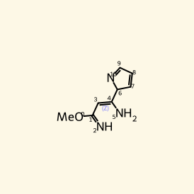 COC(=N)/C=C(\N)C1C=CC=N1